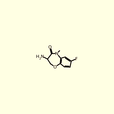 CN1C(=O)C(N)COc2ccc(F)cc21